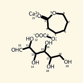 O=C([O-])[O-].O=C1CCCCCO1.O=CC(O)C(O)C(O)C(O)CO.[Ca+2]